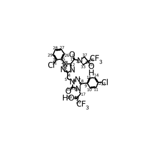 O=C(c1nc(Cn2nc(-c3ccc(Cl)cc3)n(C[C@H](O)C(F)(F)F)c2=O)nn1-c1ccccc1Cl)N1CC(O)(C(F)(F)F)C1